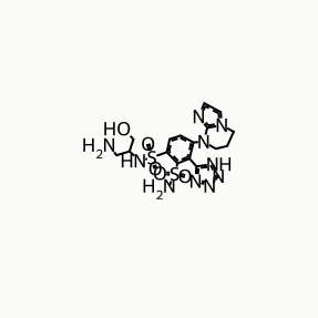 NCC(CO)NS(=O)(=O)c1ccc(N2CCCn3ccnc32)c(-c2nnn[nH]2)c1S(N)(=O)=O